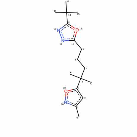 Cc1cc(C(C)(C)CCCc2nnc(C(C)(C)C)o2)on1